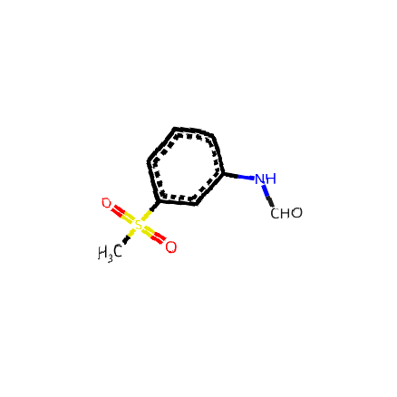 CS(=O)(=O)c1cccc(NC=O)c1